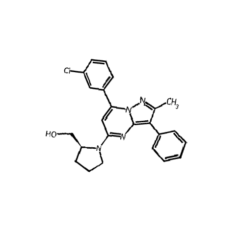 Cc1nn2c(-c3cccc(Cl)c3)cc(N3CCC[C@H]3CO)nc2c1-c1ccccc1